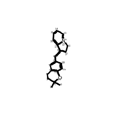 CC1(C)CCc2cc(C=C3CC[n+]4ccccc43)ccc2O1